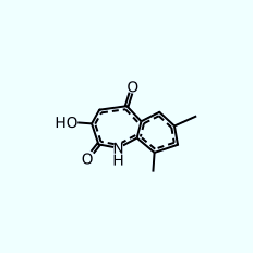 Cc1cc(C)c2[nH]c(=O)c(O)cc(=O)c2c1